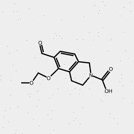 COCOc1c(C=O)ccc2c1CCN(C(=O)O)C2